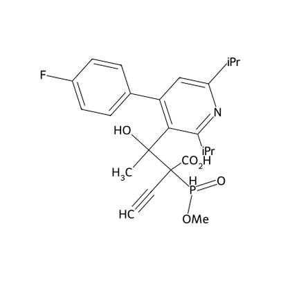 C#CC(C(=O)O)([PH](=O)OC)C(C)(O)c1c(-c2ccc(F)cc2)cc(C(C)C)nc1C(C)C